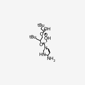 CC(C)(C)CC(COP(=O)(O)CC(C)(C)C)O[C@H](CO)N1C=CC(N)NC1